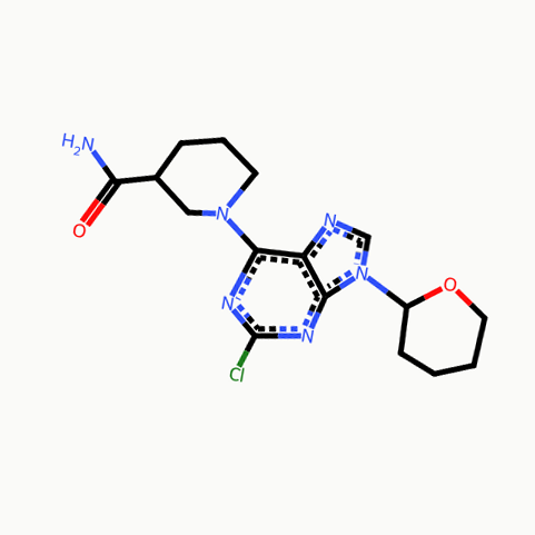 NC(=O)C1CCCN(c2nc(Cl)nc3c2ncn3C2CCCCO2)C1